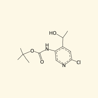 CC(O)c1cc(Cl)ncc1NC(=O)OC(C)(C)C